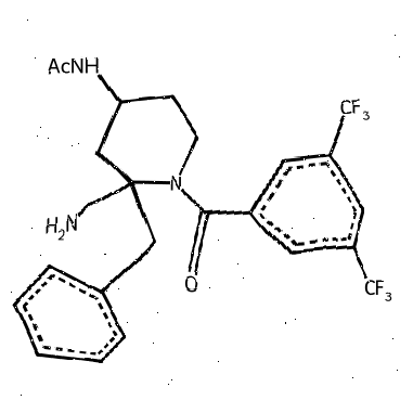 CC(=O)NC1CCN(C(=O)c2cc(C(F)(F)F)cc(C(F)(F)F)c2)C(N)(Cc2ccccc2)C1